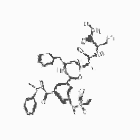 CCNC(=O)C(CC(F)(F)F)NC(=O)[C@H](C)NC[C@H](Cc1ccccc1)NC(=O)c1cc(C(=O)N[C@H](C)c2ccccc2)cc(N(C)S(C)(=O)=O)c1